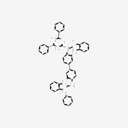 c1ccc(-c2nc(-c3ccccc3)nc(-n3c4ccc(-c5ccc6nc7n(-c8ccccc8)c8ccccc8n7c6c5)cc4n4c5ccccc5nc34)n2)cc1